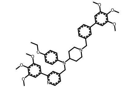 CCOc1ccc(N(Cc2ccnc(-c3cc(OC)c(OC)c(OC)c3)c2)C2CCN(Cc3cccc(-c4cc(OC)c(OC)c(OC)c4)c3)CC2)cc1